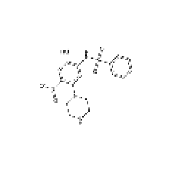 Cl.O=[N+]([O-])c1ccc(NS(=O)(=O)c2ccccc2)cc1N1CCNCC1